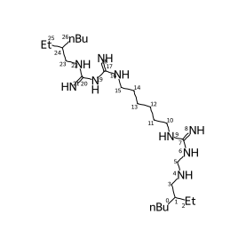 CCCCC(CC)CNCNC(=N)NCCCCCCNC(=N)NC(=N)NCC(CC)CCCC